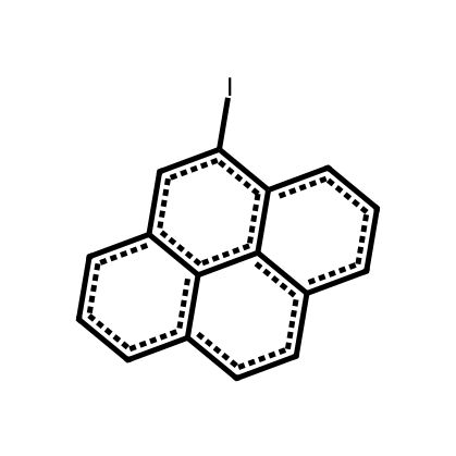 Ic1cc2cccc3ccc4cccc1c4c32